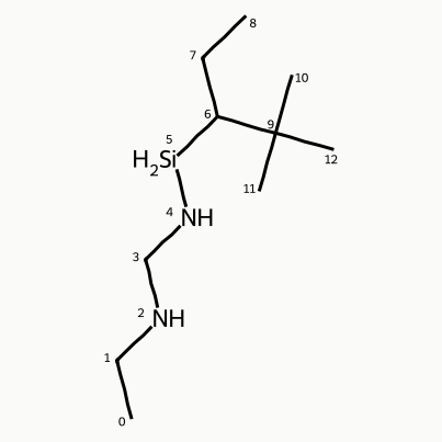 CCNCN[SiH2]C(CC)C(C)(C)C